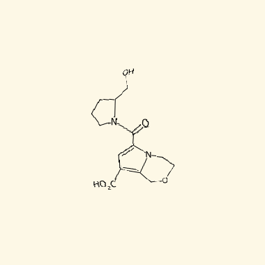 O=C(O)c1cc(C(=O)N2CCCC2CO)n2c1COCC2